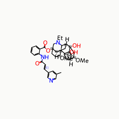 CCN1C[C@]2(OC(=O)c3ccccc3NC(=O)/C=C/c3cncc(C)c3)CC[C@H](OC)[C@]34C1[C@@H](C[C@H]23)[C@@]1(O)C[C@H](OC)[C@H]2C[C@@H]4[C@]1(O)C2